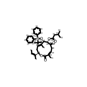 C/C=C(/C)[C@H]1C/C=C(\C)[C@@H](O[Si](c2ccccc2)(c2ccccc2)C(C)(C)C)[C@H](OC(=O)CC(C)C)C(=O)C/C=C(/C)C(=O)O1